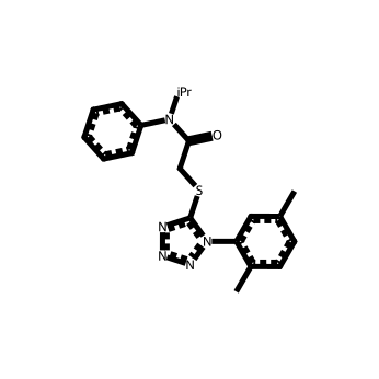 Cc1ccc(C)c(-n2nnnc2SCC(=O)N(c2ccccc2)C(C)C)c1